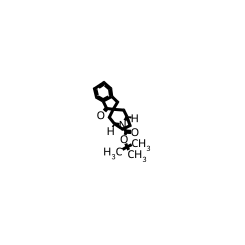 CC(C)(C)OC(=O)N1[C@@H]2CC[C@H]1CC1(Cc3ccccc3C1=O)C2